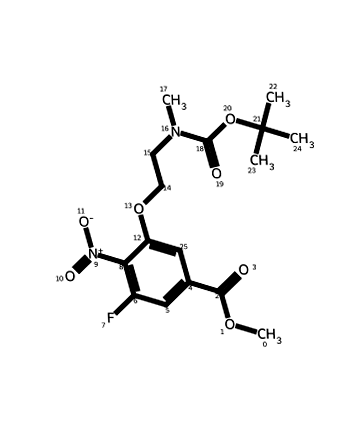 COC(=O)c1cc(F)c([N+](=O)[O-])c(OCCN(C)C(=O)OC(C)(C)C)c1